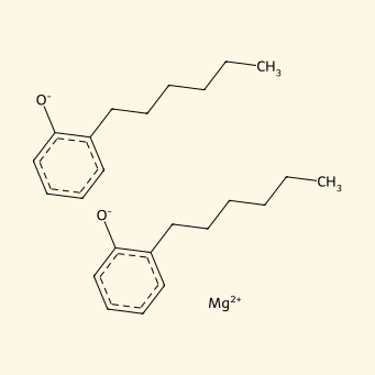 CCCCCCc1ccccc1[O-].CCCCCCc1ccccc1[O-].[Mg+2]